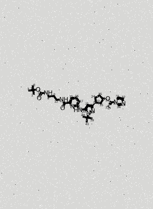 CC(C)(C)OC(=O)NCCCNC(=O)c1cccc(Nc2cc([C@H]3CC[C@@H](OC(=S)n4ccnc4)C3)nn2C(C)(C)C)n1